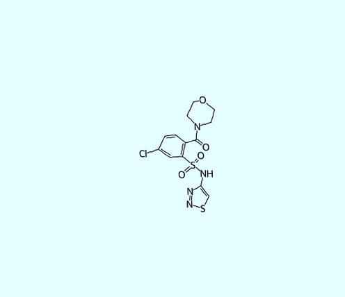 O=C(c1ccc(Cl)cc1S(=O)(=O)Nc1csnn1)N1CCOCC1